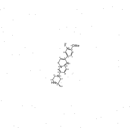 COc1ccc(C2=CCN3C=C(N4CCN[C@H](C)C4)C=CC3=N2)cc1F